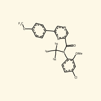 [2H]C([2H])([2H])N(C(=O)c1cncc(-c2ccc(OC(F)(F)F)cc2)n1)c1ccc(Cl)cc1OC